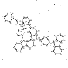 CCC(C)(CC(C)n1c2ccccc2c2ccc3c(c4cc(-c5ccccc5)ccc4n3-c3ccc(-n4c5ccccc5c5ccccc54)cc3)c21)C(=O)/C=C/c1ccccc1